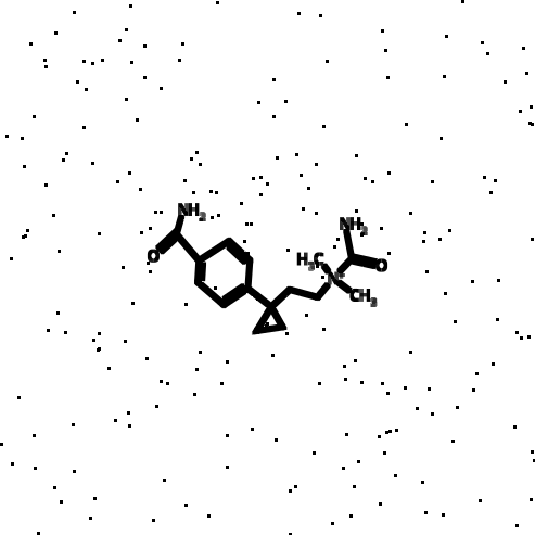 C[N+](C)(CCC1(c2ccc(C(N)=O)cc2)CC1)C(N)=O